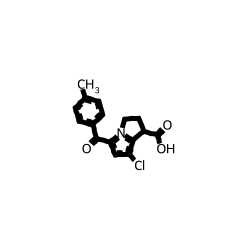 Cc1ccc(C(=O)c2cc(Cl)c3n2CCC3C(=O)O)cc1